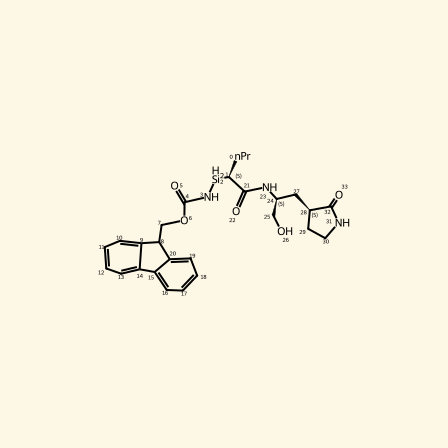 CCC[C@H]([SiH2]NC(=O)OCC1c2ccccc2-c2ccccc21)C(=O)N[C@H](CO)C[C@@H]1CCNC1=O